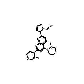 C[C@H]1COCCN1c1nc(N2CCOC[C@@H]2C)c2ccc(C3C=COC3CO)nc2n1